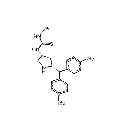 CC(C)NC(=S)N[C@H]1CN[C@@H](C(c2ccc(C(C)(C)C)cc2)c2ccc(C(C)(C)C)cc2)C1